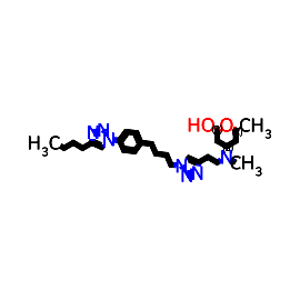 CCCCc1cn(-c2ccc(CCCCn3cc(CCN(C)[C@H]4C[C@@H](C)O[C@@H](O)C4)nn3)cc2)nn1